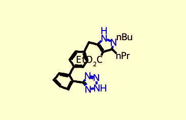 CCCCN1NC(Cc2ccc(-c3ccccc3-c3nn[nH]n3)cc2)=C(C(=O)OCC)C1CCC